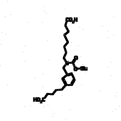 CC(C)(C)OC(=O)N(CCCCCCCC(=O)O)Cc1cccc(CCCCC(=O)O)c1